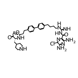 CC(=O)C(=O)[C@@H](CC1CCNCC1)NC(=O)CCc1ccc(-c2ccc(CCCCNC(=N)NC(=O)c3nc(Cl)c(N)nc3N)cc2)cc1